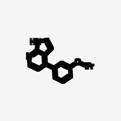 CC(C)Oc1cccc(-c2ccnc3[nH]ccc23)c1